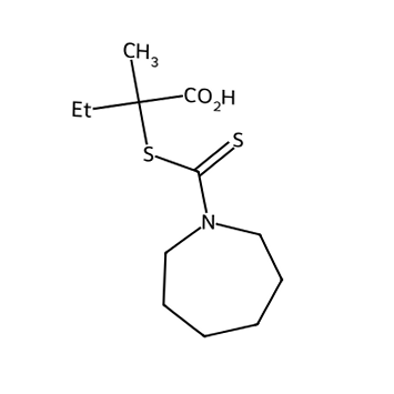 CCC(C)(SC(=S)N1CCCCCC1)C(=O)O